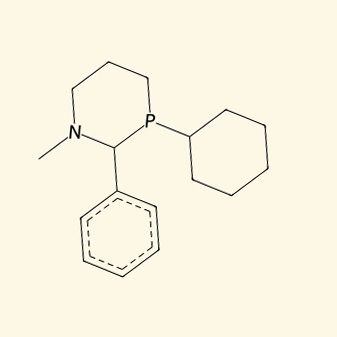 CN1CCCP(C2CCCCC2)C1c1ccccc1